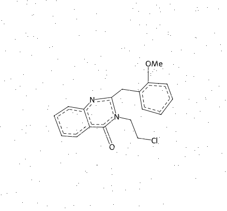 COc1ccccc1Cc1nc2ccccc2c(=O)n1CCCl